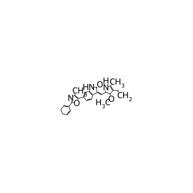 C=CC1=C(C)NC(/C=C2\C(=O)Nc3cc(-c4oc(C5=CCCC=C5)nc4C)ccc32)C1OC